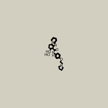 Cl.O=C(Nc1ccc(OCCN2CCCC2)cc1)C1=C(O)CCc2c1nc1ccccn21